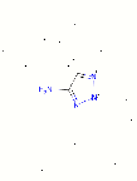 NC1=N[N]N=C1